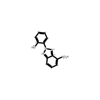 O=S(=O)(O)c1cccc2nn(-c3ccccc3O)nc12